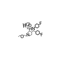 CCOCCN1CCC(C(Nc2ccc(F)cc2)c2ccc(F)cc2)CC1.Cl.O